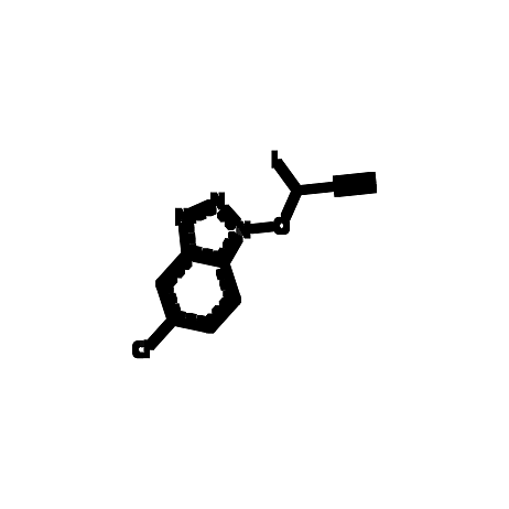 C#CC(I)On1nnc2cc(Cl)ccc21